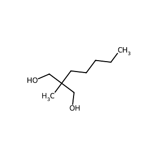 CCCCCC(C)(CO)CO